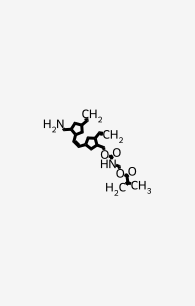 C=CC1CC(/C=C\C2CC(C=C)C(COC(=O)NCOC(=O)C(=C)C)C2)C(CN)C1